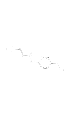 N#CSc1ccc(NC(=O)C=CC(=O)O)cc1